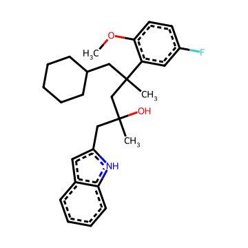 COc1ccc(F)cc1C(C)(CC1CCCCC1)CC(C)(O)Cc1cc2ccccc2[nH]1